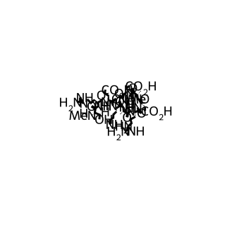 CNC(=O)[C@H](CC(=O)O)NC(=O)[C@H](C)NC(=O)[C@H](CC(=O)O)NC(=O)[C@H](CCCNC(=N)N)NC(=O)[C@H](C)NC(=O)[C@H](CCCCN)NC(=O)[C@H](CCC(=O)O)NC(=O)[C@H](CCCNC(=N)N)NC(=O)[C@H](CO)NC